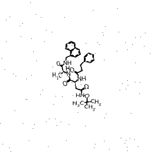 C[C@H](NC(=O)[C@H](CC(=O)NOC(C)(C)C)NC(=O)CCc1ccccc1)C(=O)NCc1cccc2ccccc12